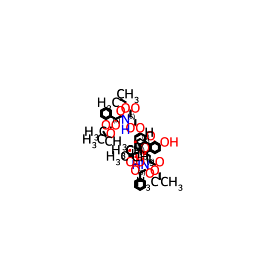 CC(C)COC(=O)[C@H](CC(=O)OC1=CC[C@@]2(OC(=O)C[C@H](NC(=O)[C@@H](OC(=O)OC(C)(C)C)c3ccccc3)C(=O)OCC(C)C)[C@H]3Cc4ccc(O)c5c4[C@@]2(CCC3C)[C@H]1O5)NC(=O)[C@@H](OC(=O)OC(C)(C)C)c1ccccc1